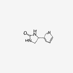 O=C1NCC(c2cccnc2)N1